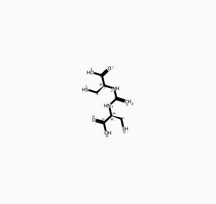 C=C(N[C@@H](CS)C(=O)O)N[C@@H](CS)C(=O)O